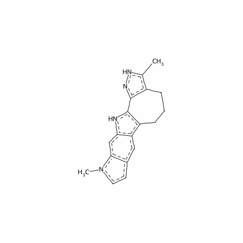 Cc1[nH]nc2c1CCCc1c-2[nH]c2cc3c(ccn3C)cc12